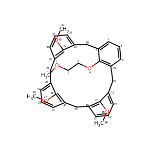 COCCOc1c2cccc1Cc1cccc(c1OC)Cc1cccc(c1OC)Cc1cccc(c1OC)C2